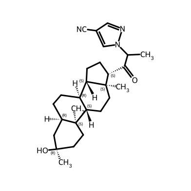 CC(C(=O)[C@H]1CC[C@H]2[C@@H]3CC[C@@H]4C[C@](C)(O)CC[C@]4(C)[C@H]3CC[C@]12C)n1cc(C#N)cn1